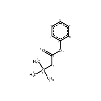 C[Si](C)(C)CC(=O)Oc1ccccc1